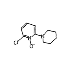 [O-][n+]1c(Cl)cccc1N1CCCCC1